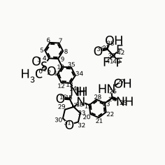 CS(=O)(=O)c1ccccc1-c1ccc(NC(=O)C2(Nc3cccc(C(=N)NO)c3)CCOCC2)cc1.O=C(O)C(F)(F)F